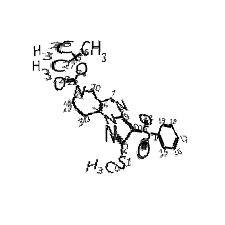 CSc1nn2c3c(cnc2c1S(=O)(=O)c1ccccc1)CN(C(=O)OC(C)(C)C)CC3